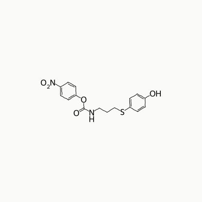 O=C(NCCCSc1ccc(O)cc1)Oc1ccc([N+](=O)[O-])cc1